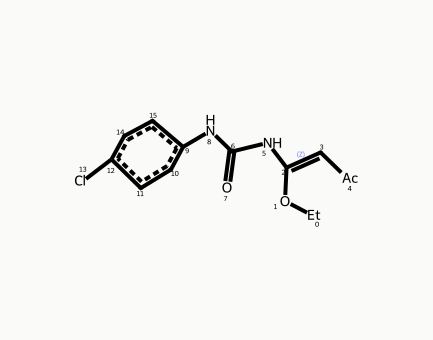 CCO/C(=C\C(C)=O)NC(=O)Nc1ccc(Cl)cc1